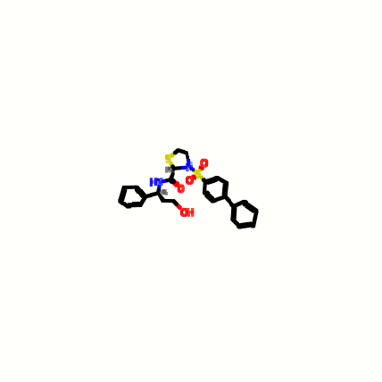 O=C(N[C@@H](CCO)c1ccccc1)[C@H]1SCCN1S(=O)(=O)c1ccc(-c2ccccc2)cc1